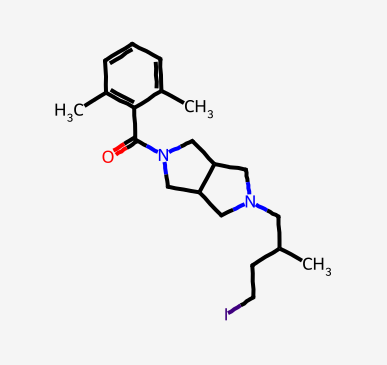 Cc1cccc(C)c1C(=O)N1CC2CN(CC(C)CCI)CC2C1